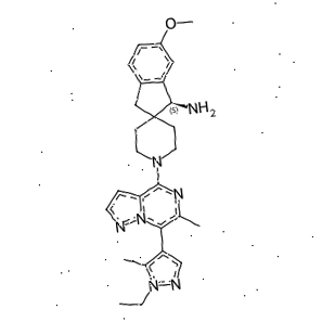 CCn1ncc(-c2c(C)nc(N3CCC4(CC3)Cc3ccc(OC)cc3[C@H]4N)c3ccnn23)c1C